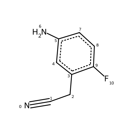 N#CCc1cc(N)ccc1F